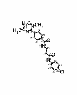 CN(C)C(=N[S+](C)[O-])c1ccc(C(=O)NCCC(=O)Nc2ccc(Cl)cn2)cc1